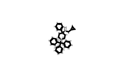 c1ccc(C2(NCC3CC3)CCN(C(c3ccccc3)(c3ccccc3)c3ccccc3)CC2)cc1